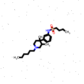 CCCCCCN1CCC(C)(c2cccc(NS(=O)(=O)CCCC)c2)C(C)C1